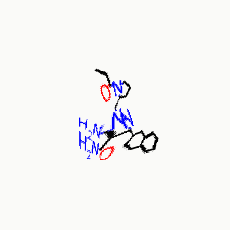 C=CC(=O)N1CCC[C@H]1Cn1nc([C@@H]2CCc3ccccc3C2)c(C(N)=O)c1N